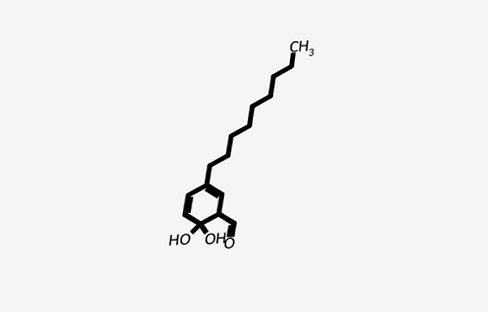 CCCCCCCCCC1=CC(C=O)C(O)(O)C=C1